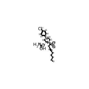 CCCCCC#CCC(N1CCN(c2ccc(Cl)cc2)CC1)=S(=O)=O.NC(=O)O